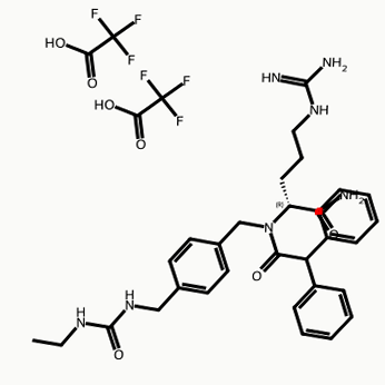 CCNC(=O)NCc1ccc(CN(C(=O)C(c2ccccc2)c2ccccc2)[C@H](CCCNC(=N)N)C(N)=O)cc1.O=C(O)C(F)(F)F.O=C(O)C(F)(F)F